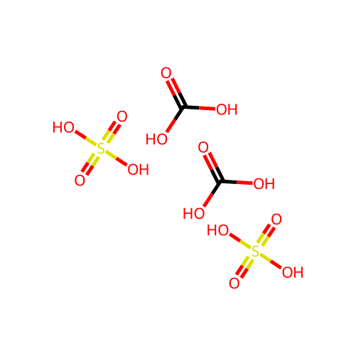 O=C(O)O.O=C(O)O.O=S(=O)(O)O.O=S(=O)(O)O